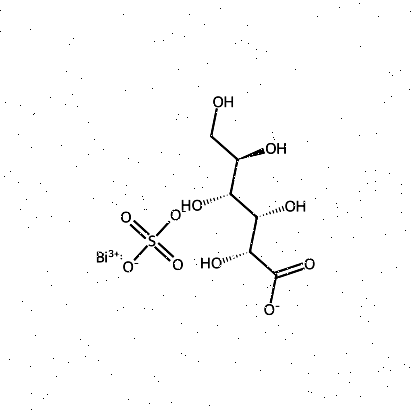 O=C([O-])[C@H](O)[C@@H](O)[C@H](O)[C@H](O)CO.O=S(=O)([O-])[O-].[Bi+3]